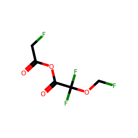 O=C(CF)OC(=O)C(F)(F)OCF